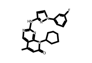 Cc1cc(=O)n(C2CCCCC2)c2nc(Nc3ccn(-c4cccc(F)c4)n3)ncc12